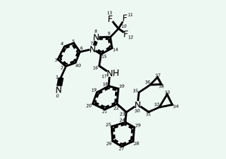 N#Cc1cccc(-n2nc(C(F)(F)F)cc2CNc2cccc(C(c3ccccc3)N(CC3CC3)CC3CC3)c2)c1